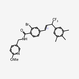 COc1ccc(CNC(=O)c2ccc(/C=C/C(c3cc(C)c(C)c(C)c3)C(F)(F)F)cc2Br)cn1